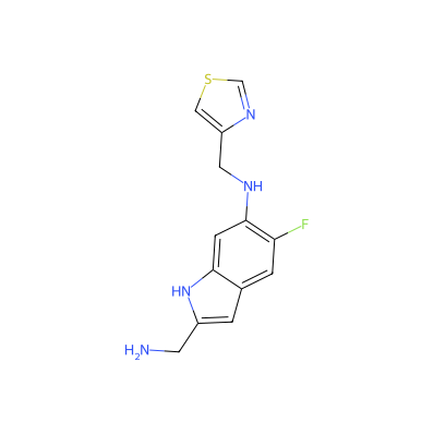 NCc1cc2cc(F)c(NCc3cscn3)cc2[nH]1